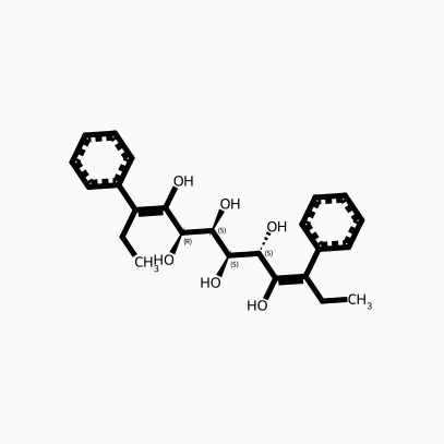 CCC(=C(O)[C@@H](O)[C@@H](O)[C@H](O)[C@@H](O)C(O)=C(CC)c1ccccc1)c1ccccc1